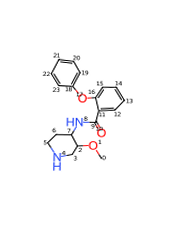 COC1CNCCC1NC(=O)c1ccccc1Oc1ccccc1